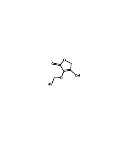 CC(C)COC1=C(O)COC1=O